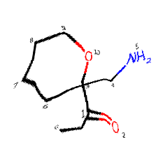 CC(=O)C1(CN)CCCCO1